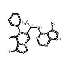 CC(=O)c1c[nH]c2ncnc(N[C@@H](C)c3cn4ccc(F)c4c(=O)n3-c3ccccc3)c12